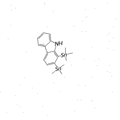 [CH3][Sn]([CH3])([CH3])[c]1ccc2c([nH]c3ccccc32)[c]1[Sn]([CH3])([CH3])[CH3]